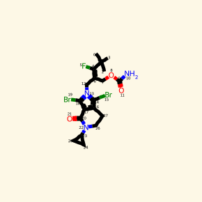 CC(C)(C)C(F)=C(COC(N)=O)Cn1c(Br)c2c(c1Br)C(=O)N(C1CC1)CC2